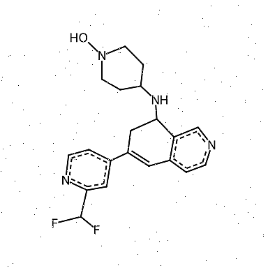 ON1CCC(NC2CC(c3ccnc(C(F)F)c3)=Cc3ccncc32)CC1